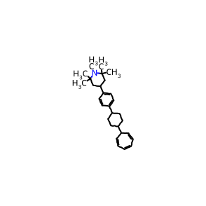 CN1C(C)(C)CC(c2ccc(C3CCC(C4C=CC=CC=C4)CC3)cc2)CC1(C)C